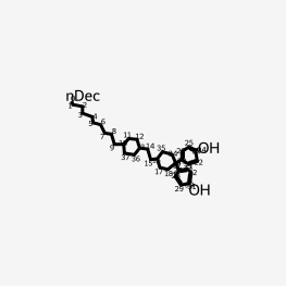 CCCCCCCCCCCCCCCCCCCC1CCC(CCC2CCC(c3ccc(O)cc3)(c3ccc(O)cc3)CC2)CC1